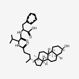 CC(C)C(NC(=O)CCC(C)[C@H]1CC[C@H]2[C@@H]3CC[C@@H]4C[C@H](O)CC[C@]4(C)[C@H]3CC[C@]12C)C(=O)NC(Cc1ccccc1)C(=O)O